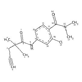 C#CCC(C)(C)C(=O)Nc1ccc(C(=O)N(C)C)c(Cl)c1